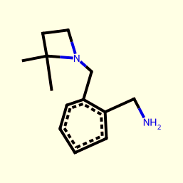 CC1(C)CCN1Cc1ccccc1CN